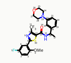 COc1ccc(F)cc1-c1nc(C(F)(F)F)c(C(=O)NC(C)c2cccc(N3CCOCC3)c2)s1